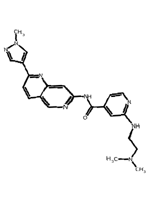 CN(C)CCNc1cc(C(=O)Nc2cc3nc(-c4cnn(C)c4)ccc3cn2)ccn1